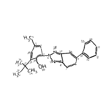 Cc1cc(-n2nc3ccc(-c4ccccc4)cc3n2)c(O)c(C(C)(C)C)c1